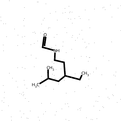 CCC(CCNC=O)CC(C)C